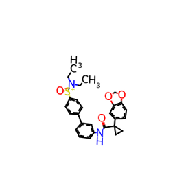 CCN(CC)[S+]([O-])c1ccc(-c2cccc(NC(=O)C3(c4ccc5c(c4)OCO5)CC3)c2)cc1